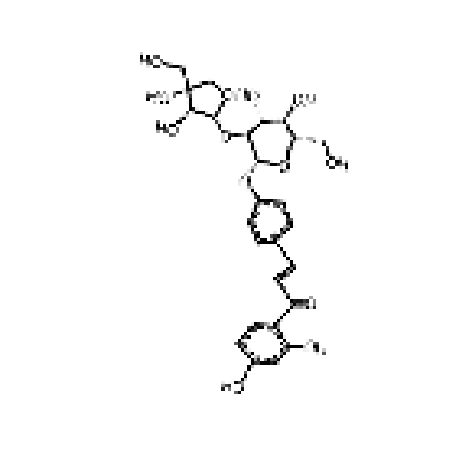 O=C(C=Cc1ccc(O[C@H]2O[C@@H](CO)[C@H](O)[C@@H](O)[C@@H]2O[C@@H]2OC[C@@](O)(CO)[C@@H]2O)cc1)c1ccc(O)cc1O